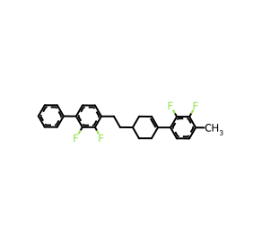 Cc1ccc(C2=CCC(CCc3ccc(-c4ccccc4)c(F)c3F)CC2)c(F)c1F